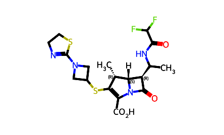 CC(NC(=O)C(F)F)[C@H]1C(=O)N2C(C(=O)O)=C(SC3CN(C4=NCCS4)C3)[C@H](C)[C@H]12